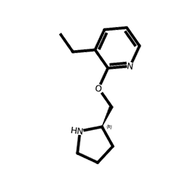 CCc1cccnc1OC[C@H]1CCCN1